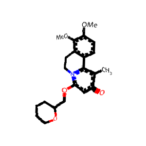 COc1ccc2c(c1OC)CCn1c(OCC3CCCCO3)cc(=O)c(C)c1-2